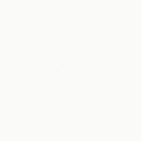 O=c1oc(-c2ccccc2)cc(O)c1SCCc1ccccc1